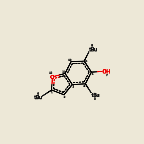 CC(C)(C)c1cc2c(C(C)(C)C)c(O)c(C(C)(C)C)cc2o1